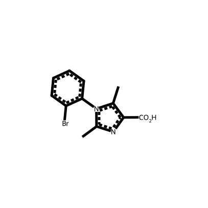 Cc1nc(C(=O)O)c(C)n1-c1ccccc1Br